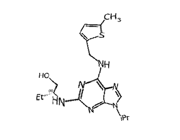 CC[C@H](CO)Nc1nc(NCc2ccc(C)s2)c2ncn(C(C)C)c2n1